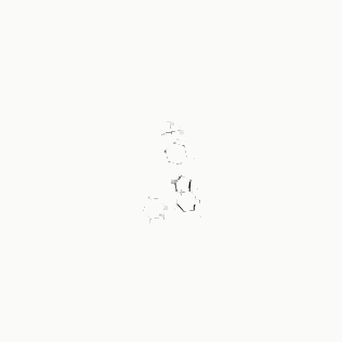 Cc1cc([C@H]2COCCN2)n2nc([C@H]3CC[C@H](C(F)(F)F)CC3)cc2n1